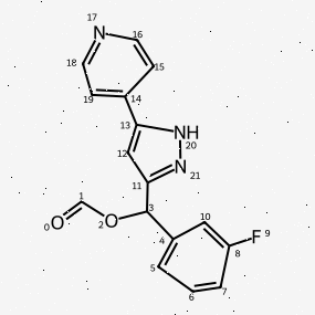 O=COC(c1cccc(F)c1)c1cc(-c2ccncc2)[nH]n1